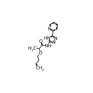 C=CCCOC(C)C(=O)Nc1nnc(-c2ccccn2)[nH]1